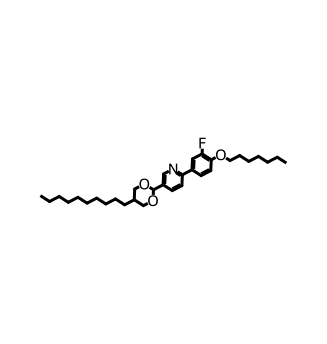 CCCCCCCCCCC1COC(c2ccc(-c3ccc(OCCCCCCC)c(F)c3)nc2)OC1